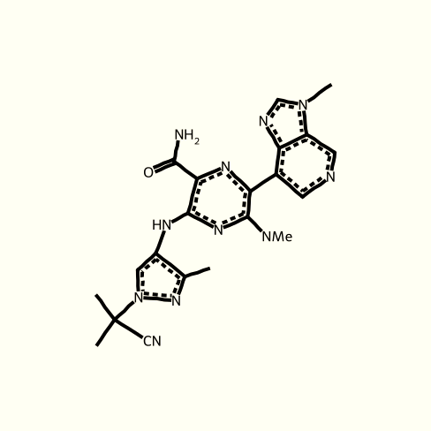 CNc1nc(Nc2cn(C(C)(C)C#N)nc2C)c(C(N)=O)nc1-c1cncc2c1ncn2C